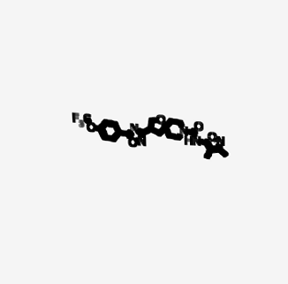 Cc1noc(NC(=O)N2CCC3(CC2)CC(c2noc(C4C=CC(OC(F)(F)F)=CC4)n2)CO3)c1C